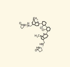 Cn1cc(CNC[C@@H]2CCC(=O)N2)c2ccc(-c3cccc(-c4cccc(-c5ccc6c(CNC[C@@H]7CCC(=O)N7)cn(C)c6n5)c4Cl)c3Cl)nc21